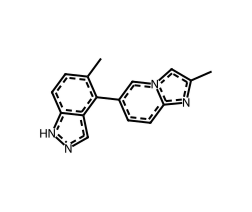 Cc1cn2cc(-c3c(C)ccc4[nH]ncc34)ccc2n1